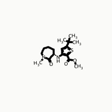 COC(=O)c1sc(C(C)(C)C)cc1N[C@H]1CCCCN(C)C1=O